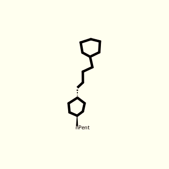 CCCCC[C@H]1CC[C@H](CCCCC2CCCCC2)CC1